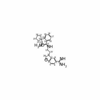 N=C(N)c1ccc2c(c1)C(CCNC(=O)c1ccccc1C1(CN)CCCC1)CO2